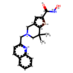 CC1(C)CN(Cc2ccc3ccccc3n2)Cc2cc(C(=O)NO)sc21